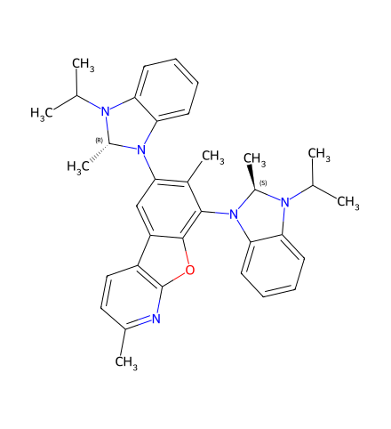 Cc1ccc2c(n1)oc1c(N3c4ccccc4N(C(C)C)[C@@H]3C)c(C)c(N3c4ccccc4N(C(C)C)[C@H]3C)cc12